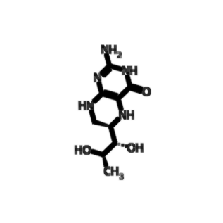 C[C@@H](O)[C@@H](O)[C@H]1CNc2nc(N)[nH]c(=O)c2N1